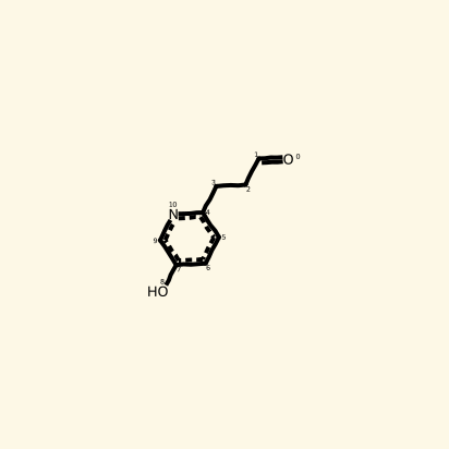 O=CCCc1ccc(O)cn1